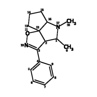 CC1C2C(c3ccccc3)=NOC23CCCC3N1C